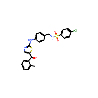 Cc1ccccc1C(=O)c1cnc(Nc2ccc(CNS(=O)(=O)c3ccc(Cl)cc3)cc2)s1